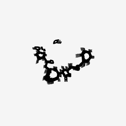 Cc1ccc(C(=O)C[n+]2cccc(-c3cc(CSc4ccccc4)n[nH]3)c2)s1.[Cl-]